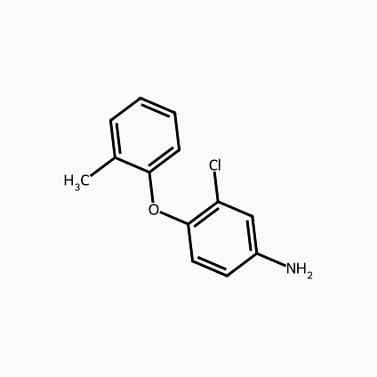 Cc1ccccc1Oc1ccc(N)cc1Cl